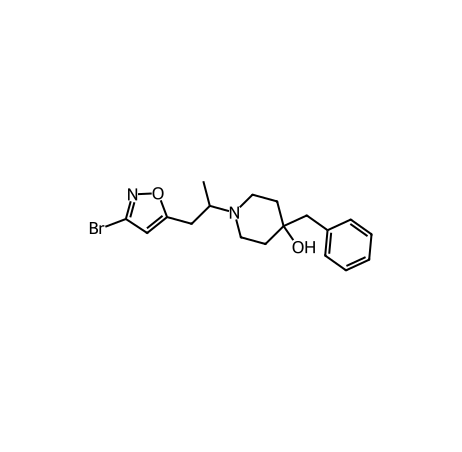 CC(Cc1cc(Br)no1)N1CCC(O)(Cc2ccccc2)CC1